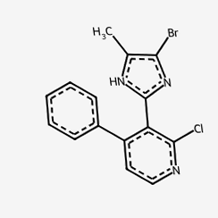 Cc1[nH]c(-c2c(-c3ccccc3)ccnc2Cl)nc1Br